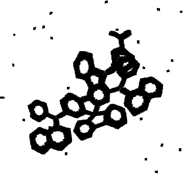 CC(C)c1cccc(-n2c3ccccc3c3c4c(cc(N(c5ccccc5)c5cccc6ccccc56)c32)C2(c3ccccc3-c3ccccc32)c2cc(N(c3ccccc3)c3cccc5ccccc35)ccc2-4)c1